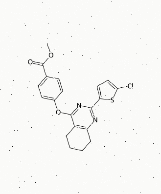 COC(=O)c1ccc(Oc2nc(-c3ccc(Cl)s3)nc3c2CCCC3)cc1